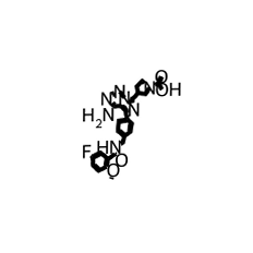 COc1ccc(F)cc1C(=O)NCc1ccc(-c2nc(C3CCN(C(=O)O)C3)n3ncnc(N)c23)cc1